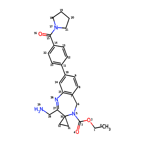 CCOC(=O)N1Cc2ccc(-c3ccc(C(=O)N4CCCC4)cc3)cc2N=C(CN)C12CC2